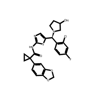 O=C(Nc1ncc([C@H](c2ccc(F)cc2Cl)N2CCC(O)C2)s1)C1(c2ccc3c(c2)OCO3)CC1